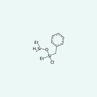 CC[SiH2]O[Si](Cl)(CC)Cc1ccccc1